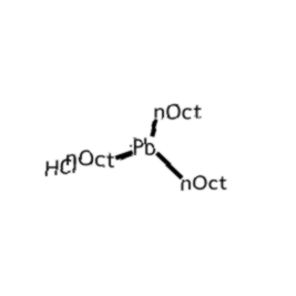 CCCCCCC[CH2][Pb]([CH2]CCCCCCC)[CH2]CCCCCCC.Cl